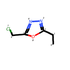 CCc1nnc(CCl)o1